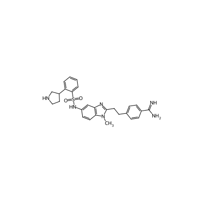 Cn1c(CCc2ccc(C(=N)N)cc2)nc2cc(NS(=O)(=O)c3ccccc3C3CCNC3)ccc21